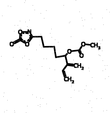 C=CC(=C)C(CCCCc1noc(=O)o1)OC(=O)OC